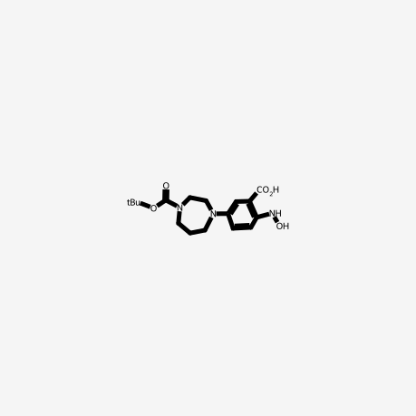 CC(C)(C)OC(=O)N1CCCN(c2ccc(NO)c(C(=O)O)c2)CC1